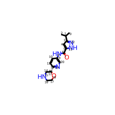 CC(C)c1cc(C(=O)Nc2ccc([C@H]3CNCCO3)nc2)[nH]n1